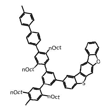 CCCCCCCCc1cc(-c2cc(-c3ccc4sc5cc6oc7ccccc7c6cc5c4c3)cc(-c3cc(CCCCCCCC)c(-c4ccc(-c5ccc(C)cc5)cc4)cc3CCCCCCCC)c2)c(CCCCCCCC)cc1C